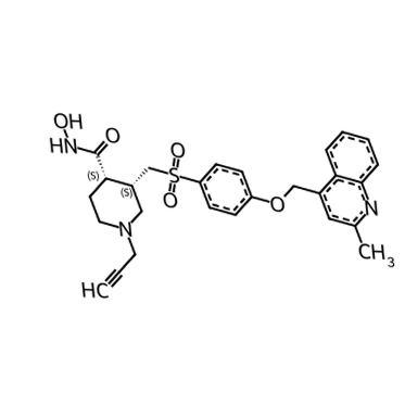 C#CCN1CC[C@H](C(=O)NO)[C@H](CS(=O)(=O)c2ccc(OCc3cc(C)nc4ccccc34)cc2)C1